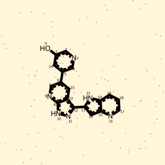 Oc1cncc(-c2cnc3[nH]nc(-c4cc5ncccc5[nH]4)c3c2)c1